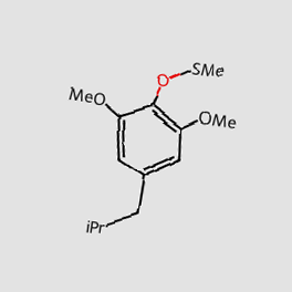 COc1cc(CC(C)C)cc(OC)c1OSC